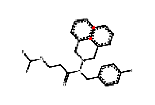 O=C(CCOC(F)F)N(Cc1ccc(F)cc1)N(Cc1ccccc1)Cc1ccccc1